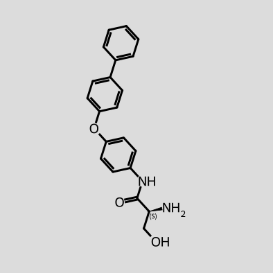 N[C@@H](CO)C(=O)Nc1ccc(Oc2ccc(-c3ccccc3)cc2)cc1